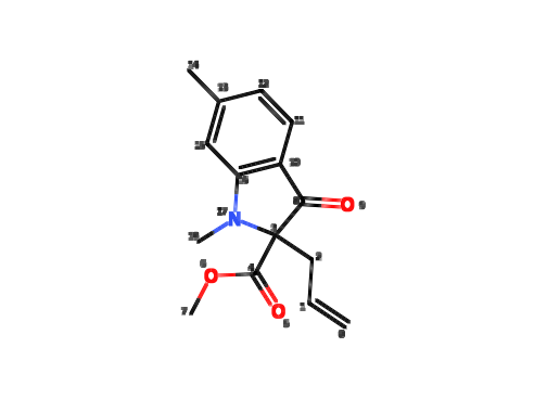 C=CCC1(C(=O)OC)C(=O)c2ccc(C)cc2N1C